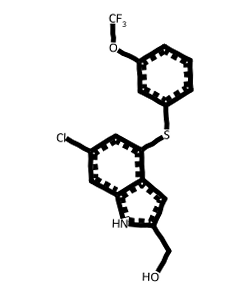 OCc1cc2c(Sc3cccc(OC(F)(F)F)c3)cc(Cl)cc2[nH]1